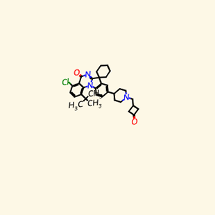 CC(C)(C)c1ccc(Cl)c2c(=O)nc3n(c12)-c1ccc(C2CCN(CC4CC(=O)C4)CC2)cc1C31CCCCC1